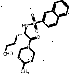 CC1CCN(C(=O)[C@H](CCCC=O)NS(=O)(=O)c2ccc3ccccc3c2)CC1